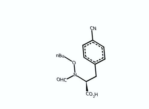 CCCCON(C=O)[C@@H](Cc1ccc(C#N)cc1)C(=O)O